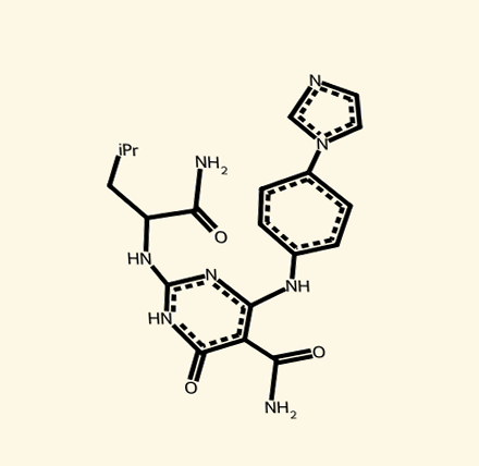 CC(C)CC(Nc1nc(Nc2ccc(-n3ccnc3)cc2)c(C(N)=O)c(=O)[nH]1)C(N)=O